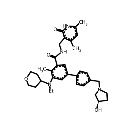 CCN(c1cc(-c2ccc(CN3CC[C@@H](O)C3)cc2)cc(C(=O)NCc2c(C)cc(C)[nH]c2=O)c1C)C1CCOCC1